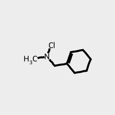 CN(Cl)CC1=CCCCC1